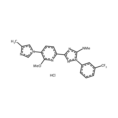 CNc1nc(-c2ccc(-n3cnc(C)c3)c(OC)n2)nn1-c1cccc(C(F)(F)F)c1.Cl